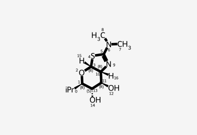 CC(C)[C@H]1O[C@@H]2SC(N(C)C)=N[C@@H]2[C@@H](O)[C@@H]1O